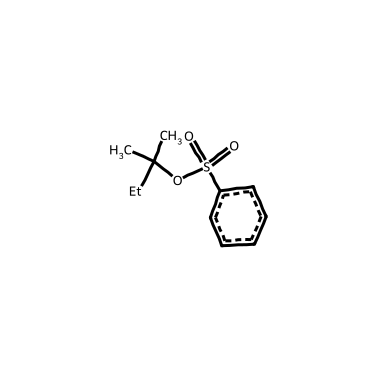 CCC(C)(C)OS(=O)(=O)c1ccccc1